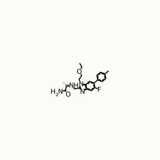 CCOCCn1c(CN[C@@H](C)C(N)=O)nc2cc(F)c(-c3ccc(C)cc3)cc21